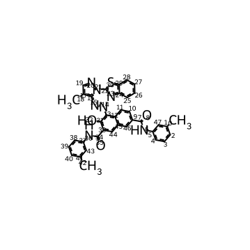 Cc1cccc(NC(=O)c2ccc3c(/N=N/c4c(C)cnn4-c4nc5ccccc5s4)c(O)c(C(=O)Nc4cccc(C)c4)cc3c2)c1